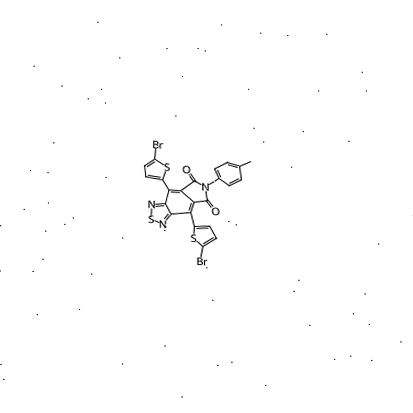 Cc1ccc(N2C(=O)c3c(c(-c4ccc(Br)s4)c4nsnc4c3-c3ccc(Br)s3)C2=O)cc1